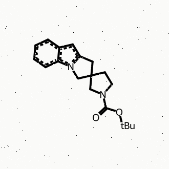 CC(C)(C)OC(=O)N1CCC2(Cc3cc4ccccc4n3C2)C1